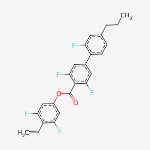 C=Cc1c(F)cc(OC(=O)c2c(F)cc(-c3ccc(CCC)cc3F)cc2F)cc1F